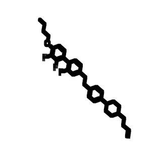 C=CCCC1CCC(c2ccc(CCc3ccc(-c4ccc(OCCCC)c(F)c4F)c(F)c3)cc2)CC1